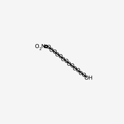 O=[N+]([O-])c1ccc(OCCOCCOCCOCCOCCOCCOCCOCCOCCOCCOCCOCCOCCO)cc1